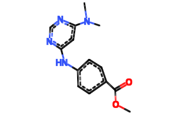 COC(=O)c1ccc(Nc2cc(N(C)C)ncn2)cc1